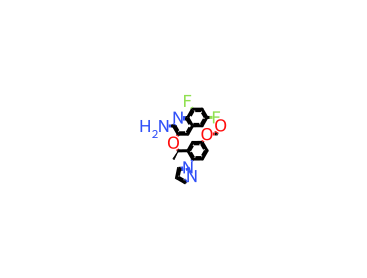 C[C@@H](Oc1cc2cc(F)cc(F)c2nc1N)c1cc(OC=O)ccc1-n1cccn1